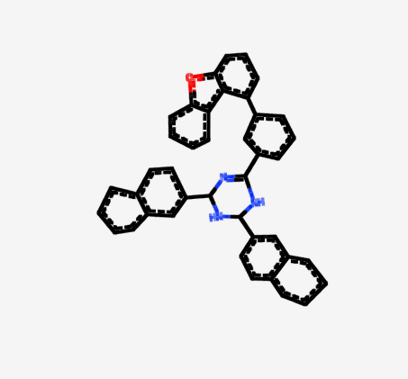 c1cc(C2=NC(c3ccc4ccccc4c3)NC(c3ccc4ccccc4c3)N2)cc(-c2cccc3oc4ccccc4c23)c1